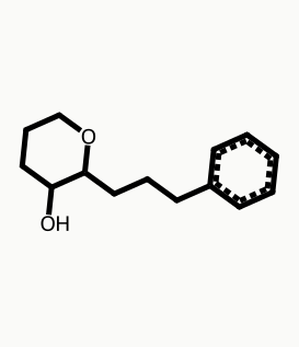 OC1CCCOC1CCCc1ccccc1